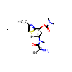 CCOC(=O)c1csc([C@@H](C[C@H](C(C)C)N(C)C(=O)[C@@H](N)C(C)CC)OC(=O)N(C)C)n1